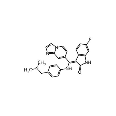 CN(C)Cc1ccc(N/C(=C2\C(=O)Nc3cc(F)ccc32)c2ccn3ccnc3c2)cc1